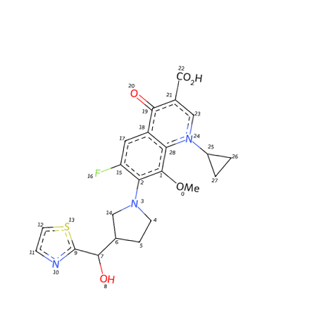 COc1c(N2CCC(C(O)c3nccs3)C2)c(F)cc2c(=O)c(C(=O)O)cn(C3CC3)c12